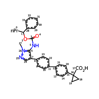 CCCC(OC(=O)Nc1c(-c2ccc(-c3ccc(C4(C(=O)O)CC4)cc3)cc2)cnn1C)c1ccccc1